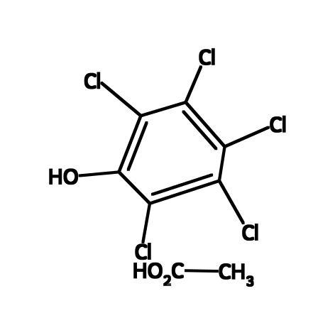 CC(=O)O.Oc1c(Cl)c(Cl)c(Cl)c(Cl)c1Cl